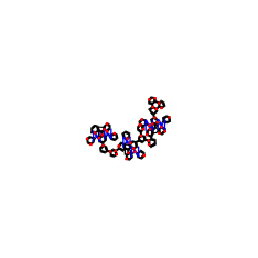 c1ccc(-c2cc(-c3cc4c5c(c3)N(c3ccccc3)c3ccc(-c6cccc(-c7cccc(-c8cc9c%10c(c8)N(c8ccccc8)c8ccccc8B%10c8ccccc8N9c8ccccc8)c7)c6)cc3B5c3ccccc3N4c3ccccc3)cc(-c3ccccc3-c3ccc4c(c3)B3c5ccccc5N(c5ccccc5)c5cc(-c6ccc7c8ccccc8c8ccccc8c7c6)cc(c53)N4c3ccccc3)c2)cc1